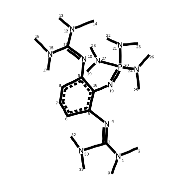 CN(C)C(=Nc1cccc(N=C(N(C)C)N(C)C)c1N=P(N(C)C)(N(C)C)N(C)C)N(C)C